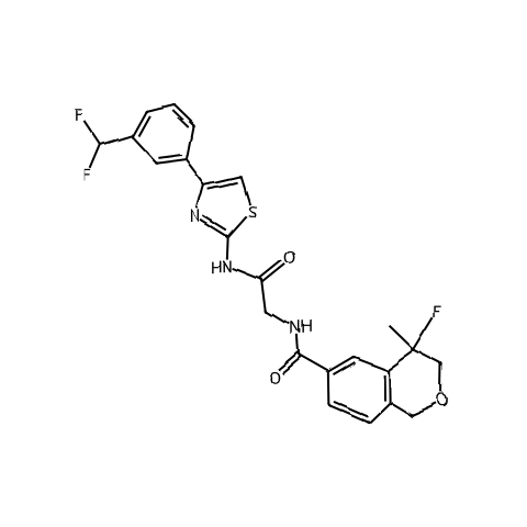 CC1(F)COCc2ccc(C(=O)NCC(=O)Nc3nc(-c4cccc(C(F)F)c4)cs3)cc21